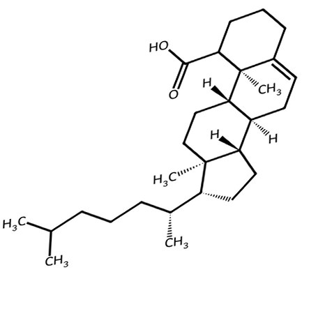 CC(C)CCC[C@@H](C)[C@H]1CC[C@H]2[C@@H]3CC=C4CCCC(C(=O)O)[C@]4(C)[C@H]3CC[C@]12C